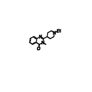 CCN1CCC(c2nc3ccccc3c(=O)n2C)CC1